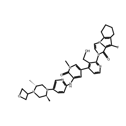 C[C@@H]1CN(c2ccc(Nc3cc(-c4ccnc(-n5ccn6c7c(c(F)c6c5=O)CCCC7)c4CO)cn(C)c3=O)nc2)[C@@H](C)CN1C1COC1